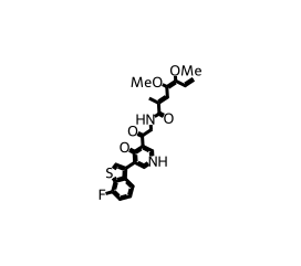 C=C/C(OC)=C(\C=C(/C)C(=O)NCC(=O)c1c[nH]cc(-c2csc3c(F)cccc23)c1=O)OC